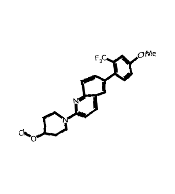 COc1ccc(-c2ccc3nc(N4CCC(OCl)CC4)ccc3c2)c(C(F)(F)F)c1